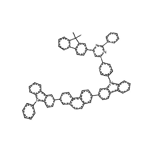 CC1(C)c2ccccc2-c2ccc(-c3cc(-c4ccc(-n5c6ccccc6c6ccc(-c7ccc8c(ccc9cc(-c%10ccc%11c(c%10)c%10ccccc%10n%11-c%10ccccc%10)ccc98)c7)cc65)cc4)nc(-c4ccccc4)n3)cc21